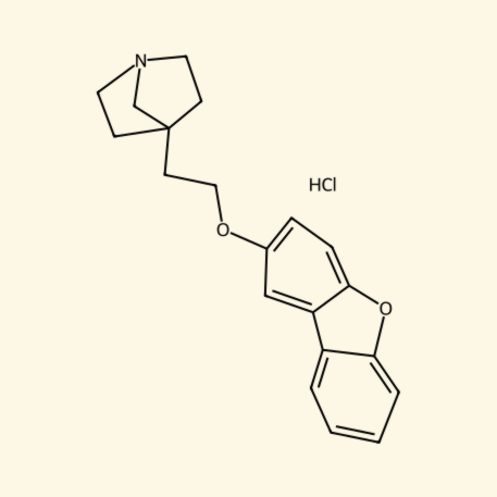 Cl.c1ccc2c(c1)oc1ccc(OCCC34CCN(CC3)C4)cc12